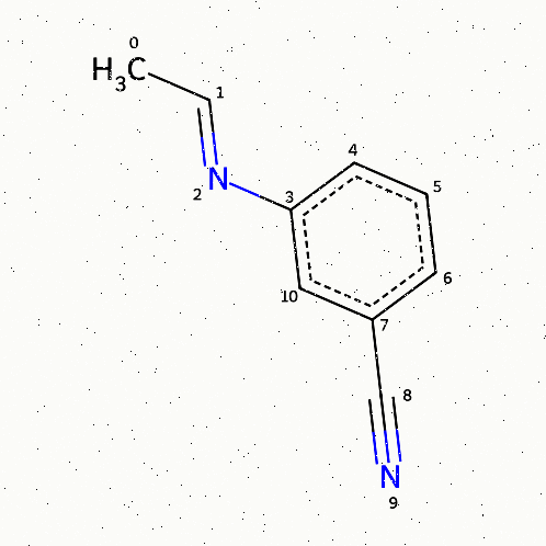 CC=Nc1cccc(C#N)c1